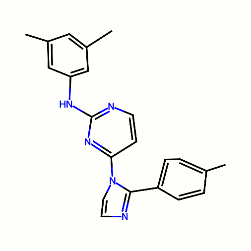 Cc1ccc(-c2nccn2-c2ccnc(Nc3cc(C)cc(C)c3)n2)cc1